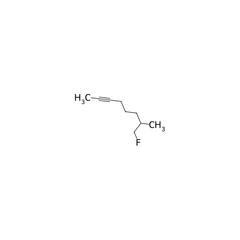 CC#CCCCC(C)CF